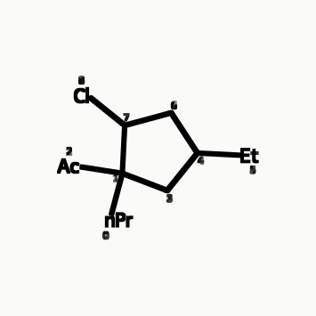 CCCC1(C(C)=O)CC(CC)CC1Cl